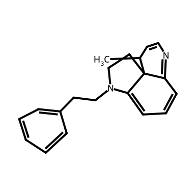 CC1C=CN=C2C=CC=C3N(CCc4ccccc4)CCC321